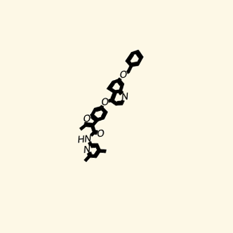 Cc1cc(C)nc(NC(=O)c2c(C)oc3cc(Oc4ccnc5cc(OCc6ccccc6)ccc45)ccc23)c1